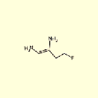 NC=C(N)CCF